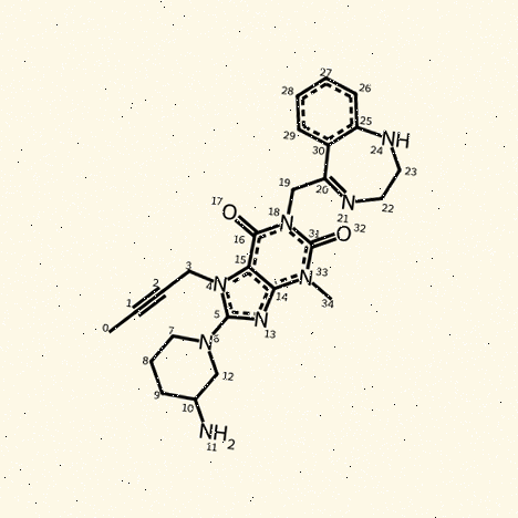 CC#CCn1c(N2CCCC(N)C2)nc2c1c(=O)n(CC1=NCCNc3ccccc31)c(=O)n2C